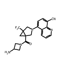 N#Cc1ccc(N2CC3(C(=O)N4CC(N)C4)CC3(C(F)(F)F)C2)c2cccnc12